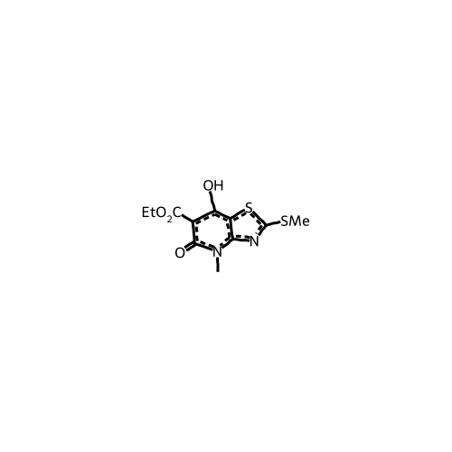 CCOC(=O)c1c(O)c2sc(SC)nc2n(C)c1=O